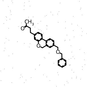 CC(=O)CCc1ccc2c(c1)OCc1cc(COCc3ccccc3)ccc1-2